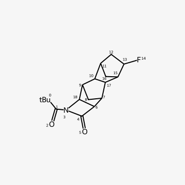 CC(C)(C)C(=O)N1C(=O)C2C3CC(C4C5CC(F)C(C5)C34)C21